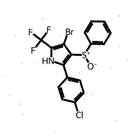 [O-][S+](c1ccccc1)c1c(-c2ccc(Cl)cc2)[nH]c(C(F)(F)F)c1Br